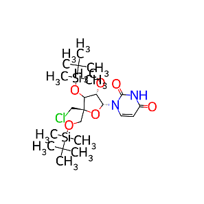 CO[C@H]1C(O[Si](C)(C)C(C)(C)C)[C@@](CCl)(CO[Si](C)(C)C(C)(C)C)O[C@H]1n1ccc(=O)[nH]c1=O